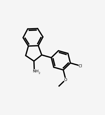 COc1cc(C2c3ccccc3CC2N)ccc1Cl